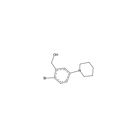 OCc1cc(N2CCCCC2)ccc1Br